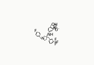 O=[N+]([O-])c1cc(NCC2(Cc3cccc(C(F)(F)F)c3)CCN(Cc3ccc(F)cc3)C2)ccc1CO